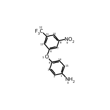 Nc1ccc(Oc2cc([N+](=O)[O-])cc(C(F)(F)F)c2)cc1